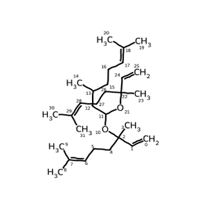 C=CC(C)(CCC=C(C)C)OC(CC(C)CCC=C(C)C)OC(C)(C=C)CCC=C(C)C